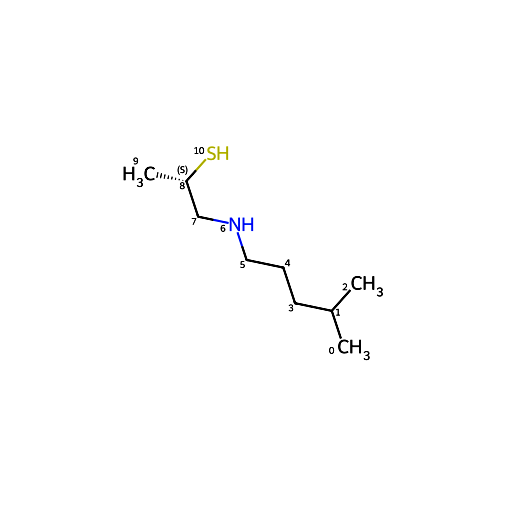 CC(C)CCCNC[C@H](C)S